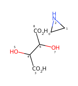 C1CN1.O=C(O)C(O)C(O)C(=O)O